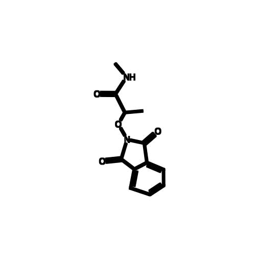 CNC(=O)C(C)ON1C(=O)c2ccccc2C1=O